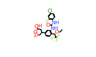 CCOC(c1ccc(C(COC)CC(=O)O)cc1NC(=O)Nc1ccc(Cl)cc1F)C(F)(F)F